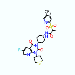 CC(C(=O)N[C@H]1CC[C@@H](n2c(=O)c3cc(F)cnc3n(C3CCSCC3)c2=O)CC1)S(=O)(=O)c1ccc(C(F)(F)F)cn1